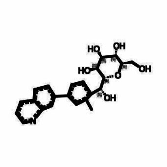 Cc1cc(-c2ccc3cccnc3c2)ccc1[C@@H](O)[C@H]1O[C@H](CO)[C@@H](O)[C@H](O)[C@@H]1O